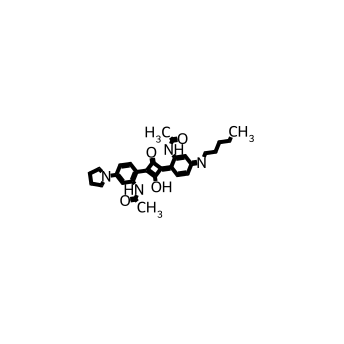 CCCCC/N=C1C=C/C(=C2/C(=O)C(c3ccc(N4CCCC4)cc3NC(C)=O)=C2O)C(NC(C)=O)=C/1